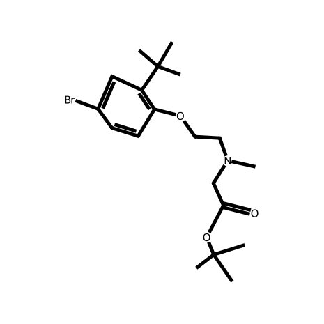 CN(CCOc1ccc(Br)cc1C(C)(C)C)CC(=O)OC(C)(C)C